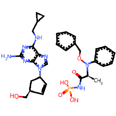 C[C@@H](C(=O)NP(=O)(O)O)N(OCc1ccccc1)c1ccccc1.Nc1nc(NCC2CC2)c2ncn([C@H]3C=C[C@@H](CO)C3)c2n1